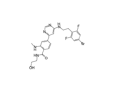 CNc1cc(-c2cc(NCCc3c(F)cc(Br)cc3F)ncn2)ccc1C(=O)NCCO